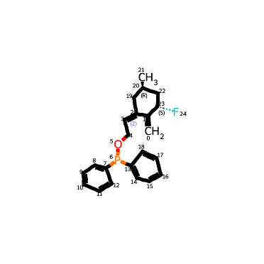 C=C1/C(=C\COP(c2ccccc2)c2ccccc2)C[C@@H](C)C[C@@H]1F